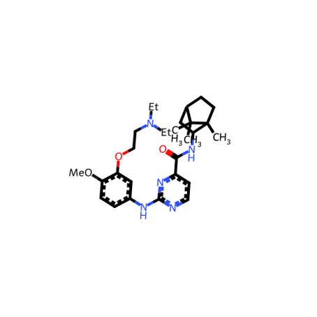 CCN(CC)CCOc1cc(Nc2nccc(C(=O)NC3CC4CCC3(C)C4(C)C)n2)ccc1OC